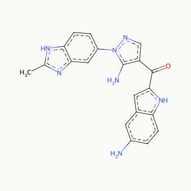 Cc1nc2cc(-n3ncc(C(=O)c4cc5cc(N)ccc5[nH]4)c3N)ccc2[nH]1